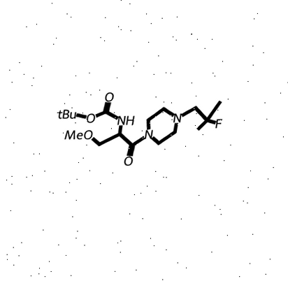 COCC(NC(=O)OC(C)(C)C)C(=O)N1CCN(CC(C)(C)F)CC1